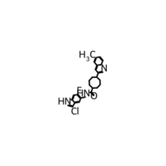 Cc1ccc2ncc(C3CCCC(C(=O)NCc4cc5c(Cl)c[nH]c5cc4F)CCC3)cc2c1